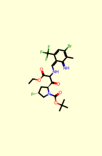 CCOC(=O)C(N/C=C1\C(=N)C(C)=C(Br)C=C1C(F)(F)F)C(=O)[C@@H]1C[C@@H](F)CN1C(=O)OC(C)(C)C